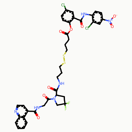 O=C(CCCSSCCCNC(=O)C1CC(F)(F)CN1C(=O)CNC(=O)c1ccnc2ccccc12)Oc1ccc(Cl)cc1C(=O)Nc1ccc([N+](=O)[O-])cc1Cl